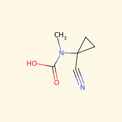 CN(C(=O)O)C1(C#N)CC1